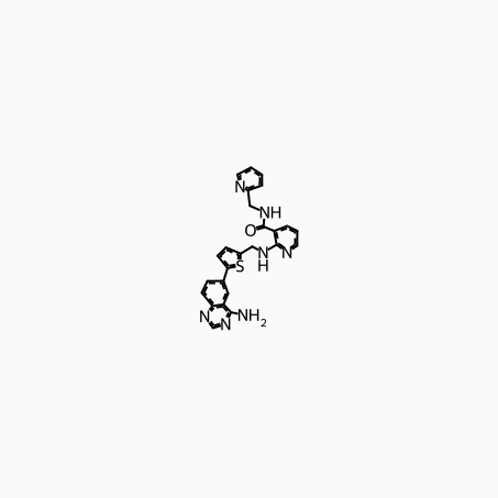 Nc1ncnc2ccc(-c3ccc(CNc4ncccc4C(=O)NCc4ccccn4)s3)cc12